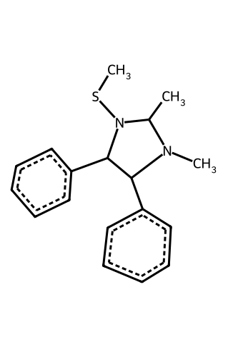 CSN1C(c2ccccc2)C(c2ccccc2)N(C)C1C